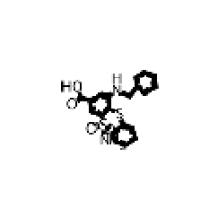 NS(=O)(=O)c1cc(C(=O)O)cc(NCc2ccccc2)c1Sc1ccccc1